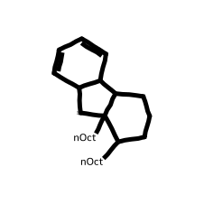 CCCCCCCCC1CCCC2C3C=CC=CC3[C]C12CCCCCCCC